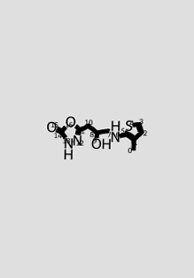 Cc1ccsc1NCC(O)Cc1n[nH]c(=O)o1